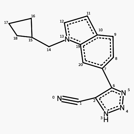 N#Cc1[nH]nnc1-c1ccc2ccn(CC3CCC3)c2c1